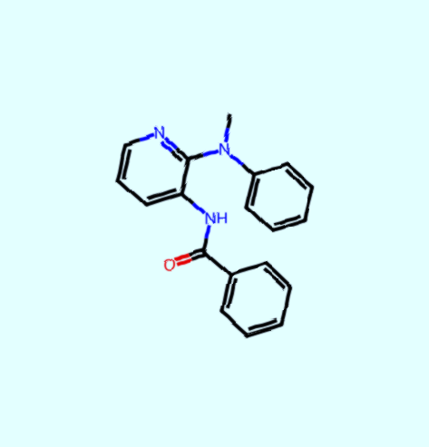 CN(c1ccccc1)c1ncccc1NC(=O)c1ccccc1